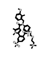 COc1cccc(CN(C(=O)c2cc(-c3cc(S(C)(=O)=O)ccc3C(=O)O)n(C)c2C)c2ccc(OCOCC[Si](C)(C)C)cc2)c1C